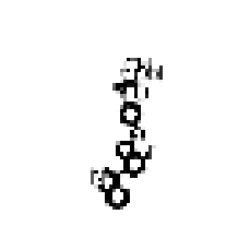 CC[C@]1(C(=O)O)C[C@H]1c1ccc(O[C@@H]2CCc3c(-c4cncc5ccccc45)ccc(F)c32)cc1